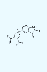 CC(CCC(F)F)(CCC(F)F)c1ccc2c(c1)C(=O)C(=O)N2